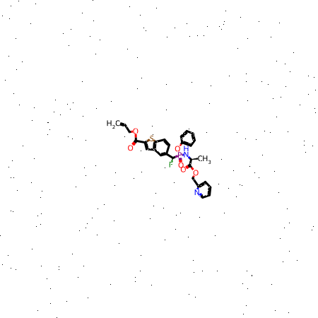 C=CCOC(=O)c1cc2cc([C@H](F)P(=O)(N[C@@H](C)C(=O)OCc3ccccn3)Oc3ccccc3)ccc2s1